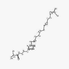 CC(C)OCCOCCOCCOCc1cn(CCCCC(=O)C(C)C)nn1